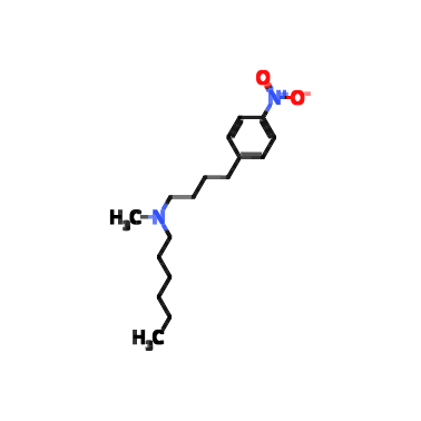 CCCCCCN(C)CCCCc1ccc([N+](=O)[O-])cc1